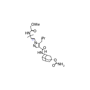 COCC(=O)NC(C)(C)/C=C/n1ncc(C(=O)N[C@H]2C3CC4CC2C[C@](OC(N)=O)(C4)C3)c1CC(C)C